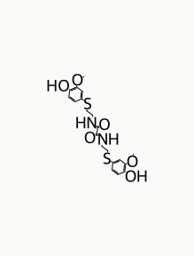 COc1cc(SCCNC(=O)C(=O)NCCSc2ccc(O)c(OC)c2)ccc1O